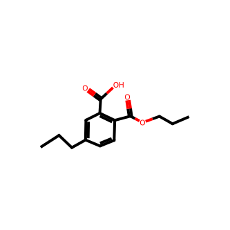 CCCOC(=O)c1ccc(CCC)cc1C(=O)O